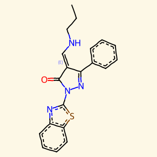 CCCN/C=C1/C(=O)N(c2nc3ccccc3s2)N=C1c1ccccc1